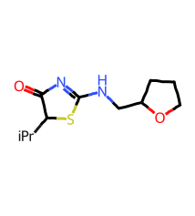 CC(C)C1SC(NCC2CCCO2)=NC1=O